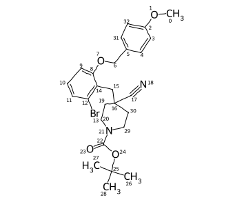 COc1ccc(COc2cccc(Br)c2CC2(C#N)CCN(C(=O)OC(C)(C)C)CC2)cc1